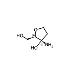 N[C@]1(O)CCO[C@@H]1CO